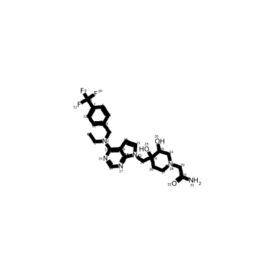 CCN(Cc1ccc(C(F)(F)F)cc1)c1ncnc2c1ccn2CC1(O)CCN(CC(N)=O)CC1O